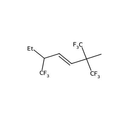 CCC(C=CC(C)(C(F)(F)F)C(F)(F)F)C(F)(F)F